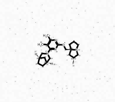 Cc1nc(OC[C@@]23CCCN2C[C@H](F)C3)nc(N2C[C@@H]3CC[C@@H](C3)C2)c1C